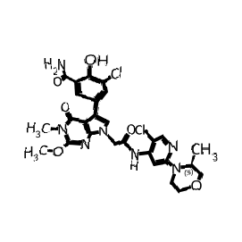 COc1nc2c(c(-c3cc(Cl)c(O)c(C(N)=O)c3)cn2CC(=O)Nc2cc(N3CCOC[C@@H]3C)ncc2Cl)c(=O)n1C